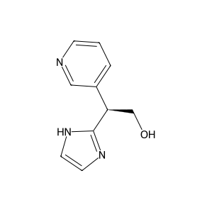 OC[C@H](c1cccnc1)c1ncc[nH]1